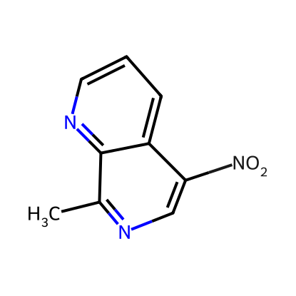 Cc1ncc([N+](=O)[O-])c2cccnc12